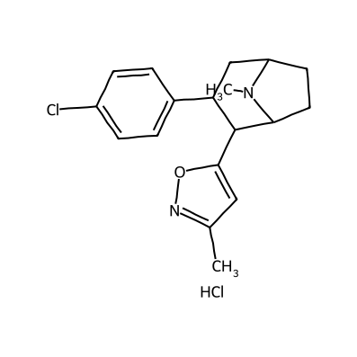 Cc1cc(C2C(c3ccc(Cl)cc3)CC3CCC2N3C)on1.Cl